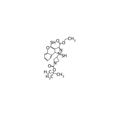 CCOC(=O)C1=N[N+](S)(C2CN(C(=O)OC(C)(C)C)C2)C2C1=C(S)Oc1ccccc12